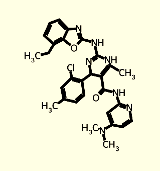 CCc1cccc2nc(NC3=NC(c4ccc(C)cc4Cl)C(C(=O)Nc4cc(N(C)C)ccn4)=C(C)N3)oc12